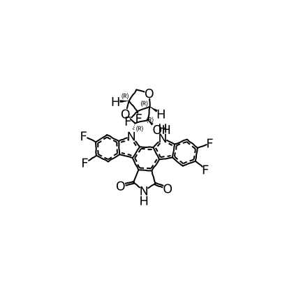 O=C1NC(=O)c2c1c1c3cc(F)c(F)cc3[nH]c1c1c2c2cc(F)c(F)cc2n1[C@@H]1O[C@@H]2CO[C@H]([C@H]1O)C2(F)F